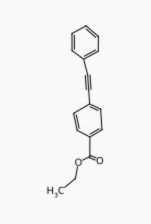 CCOC(=O)c1ccc(C#Cc2ccccc2)cc1